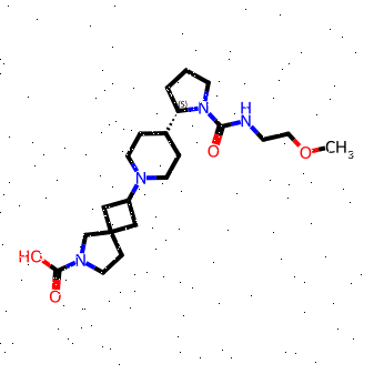 COCCNC(=O)N1CCC[C@H]1C1CCN(C2CC3(CCN(C(=O)O)C3)C2)CC1